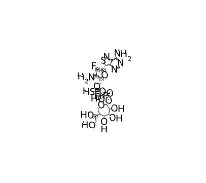 Nc1ncnc2c([C@@H]3O[C@H](COP(=O)(S)OP(=O)(O)OC4OCC([C@@H](O)CO)C(O)C(O)C4O)[C@@H](N)[C@H]3F)snc12